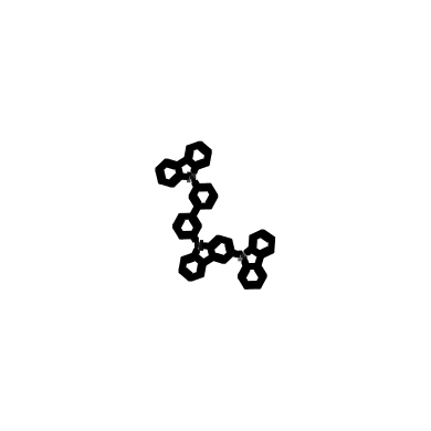 c1cc(-c2cccc(-n3c4ccccc4c4cc(-n5c6ccccc6c6ccccc65)ccc43)c2)cc(-n2c3ccccc3c3ccccc32)c1